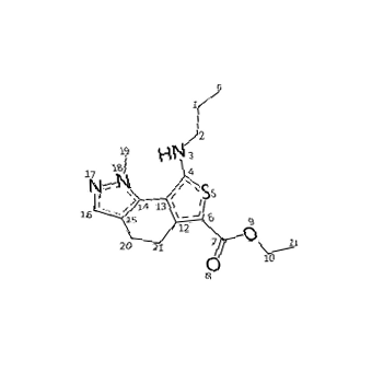 CCCNc1sc(C(=O)OCC)c2c1-c1c(cnn1C)CC2